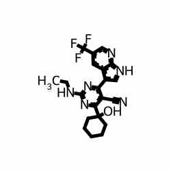 CCNc1nc(-c2c[nH]c3ncc(C(F)(F)F)cc23)c(C#N)c(C2(O)CCCCC2)n1